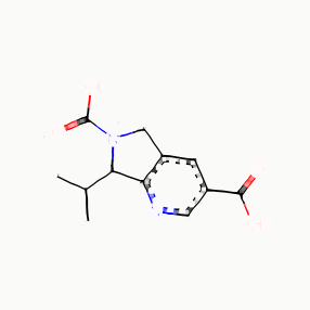 CC(C)C1c2ncc(C(=O)O)cc2CN1C(=O)O